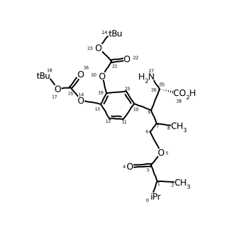 CC(C)C(C)C(=O)OCC(C)C(c1ccc(OC(=O)OC(C)(C)C)c(OC(=O)OC(C)(C)C)c1)[C@H](N)C(=O)O